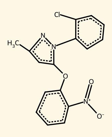 Cc1cc(Oc2ccccc2[N+](=O)[O-])n(-c2ccccc2Cl)n1